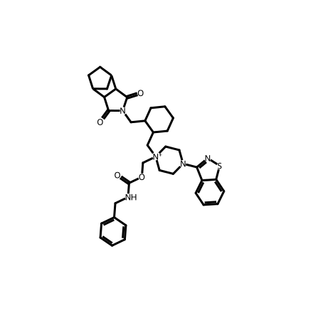 O=C(NCc1ccccc1)OC[N+]1(CC2CCCCC2CN2C(=O)C3C4CCC(C4)C3C2=O)CCN(c2nsc3ccccc23)CC1